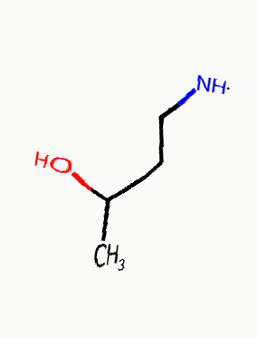 CC(O)CC[NH]